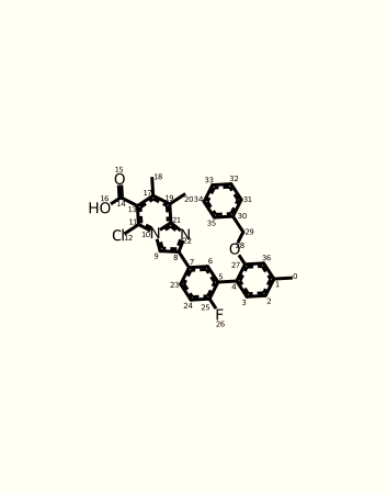 Cc1ccc(-c2cc(-c3cn4c(Cl)c(C(=O)O)c(C)c(C)c4n3)ccc2F)c(OCc2ccccc2)c1